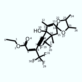 CCOC(=O)/C=C(\C#CC1(O)C(C)=CC2(CC1(C)C(F)(F)F)OC(C)C(C)O2)C(F)(F)F